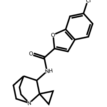 O=C(NC1C2CCN(CC2)C12CC2)c1cc2ccc(Cl)cc2o1